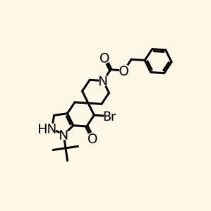 CC(C)(C)N1NCC2=C1C(=O)C(Br)C1(CCN(C(=O)OCc3ccccc3)CC1)C2